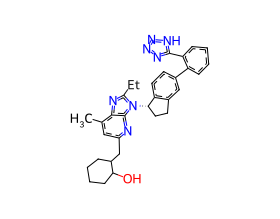 CCc1nc2c(C)cc(CC3CCCCC3O)nc2n1[C@H]1CCc2cc(-c3ccccc3-c3nnn[nH]3)ccc21